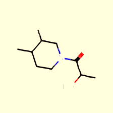 CCC1CN(C(=O)C(C)O)CCC1C